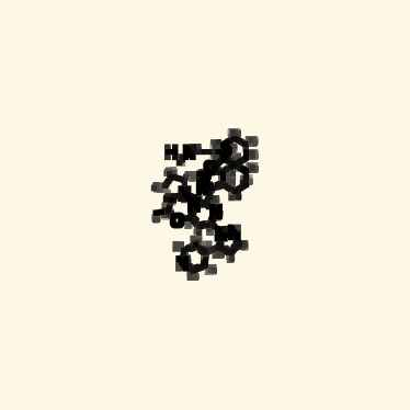 C[C@H](Oc1cc(-n2nccc2-c2ccncc2)nc(-c2noc3c2CCC[C@@]32CCCc3sc(N)c(C#N)c32)n1)[C@@H]1CCCN1C